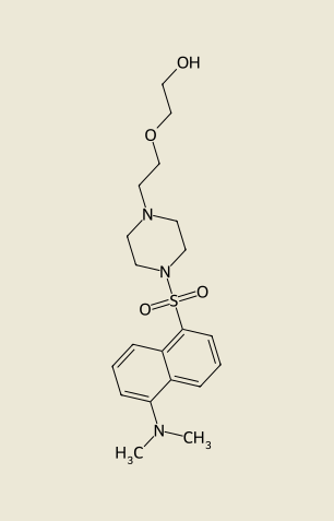 CN(C)c1cccc2c(S(=O)(=O)N3CCN(CCOCCO)CC3)cccc12